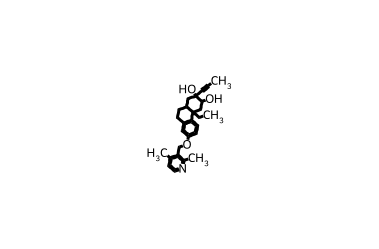 CC#CC1(O)CC2CCc3cc(OCc4c(C)ccnc4C)ccc3C2(CC)CC1O